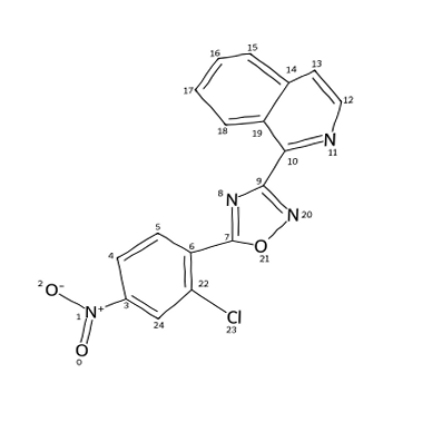 O=[N+]([O-])c1ccc(-c2nc(-c3nccc4ccccc34)no2)c(Cl)c1